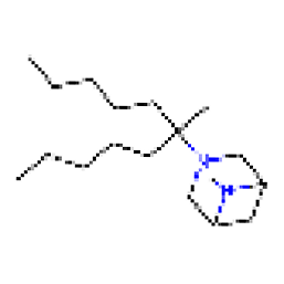 CCCCCC(C)(CCCCC)N1CC2CC(C1)N2C